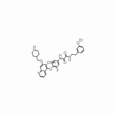 CCOc1cccc(CCNC(=O)C(=O)Nc2ccc(Oc3c(OC)c(OCC4CCNCC4)cc4ncccc34)c(F)c2)c1